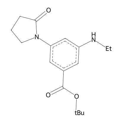 CCNc1cc(C(=O)OC(C)(C)C)cc(N2CCCC2=O)c1